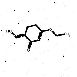 CCOC1=CC(=O)C(=CO)CC1